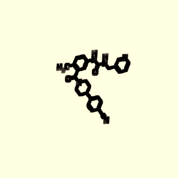 Cc1ccc(NC(=O)NCc2cccnc2)cc1C(=O)N1CCC(c2ccc(C#N)cc2)CC1